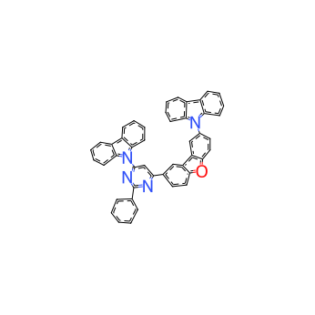 c1ccc(-c2nc(-c3ccc4oc5ccc(-n6c7ccccc7c7ccccc76)cc5c4c3)cc(-n3c4ccccc4c4ccccc43)n2)cc1